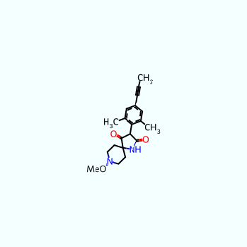 CC#Cc1cc(C)c(C2C(=O)NC3(CCN(OC)CC3)C2=O)c(C)c1